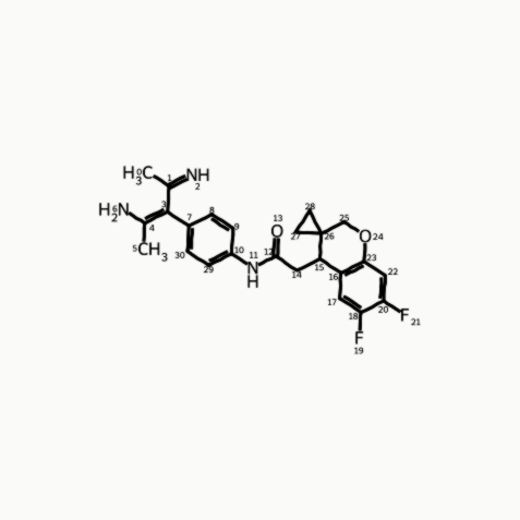 CC(=N)/C(=C(/C)N)c1ccc(NC(=O)CC2c3cc(F)c(F)cc3OCC23CC3)cc1